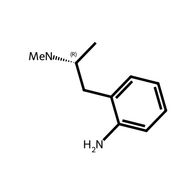 CN[C@H](C)Cc1ccccc1N